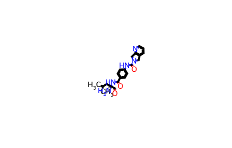 CC(C)C[C@](N)(C=O)NC(=O)c1ccc(NC(=O)N2Cc3cccnc3C2)cc1